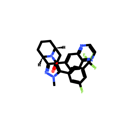 Cn1nc2c(c1-c1cc(F)cc(C(F)(F)F)c1)C[C@@H]1CCC[C@H]2N1C(=O)c1ccc2nccnc2c1